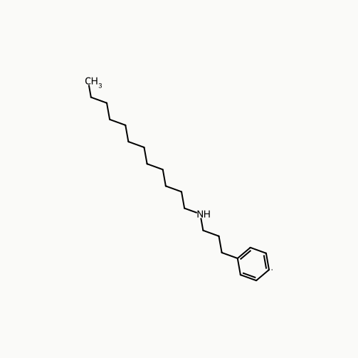 CCCCCCCCCCCCNCCCc1cc[c]cc1